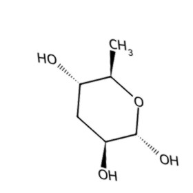 C[C@H]1O[C@H](O)[C@@H](O)C[C@@H]1O